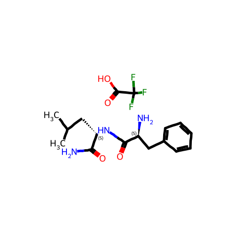 CC(C)C[C@H](NC(=O)[C@@H](N)Cc1ccccc1)C(N)=O.O=C(O)C(F)(F)F